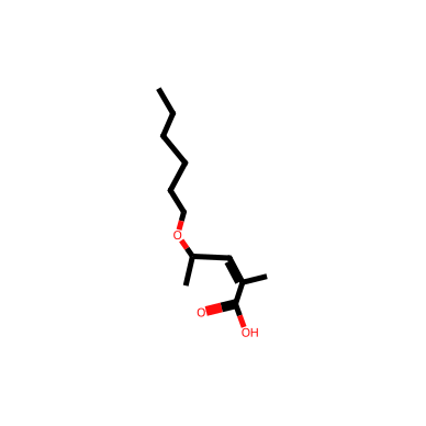 CCCCCCOC(C)C=C(C)C(=O)O